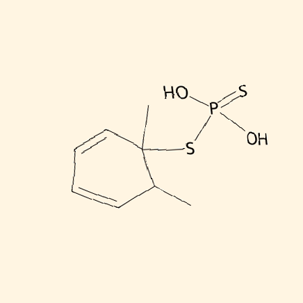 CC1C=CC=CC1(C)SP(O)(O)=S